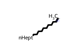 C/[C]=C\CCCCCCCCCCCCCCCC